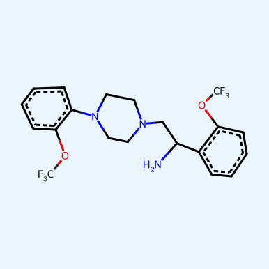 NC(CN1CCN(c2ccccc2OC(F)(F)F)CC1)c1ccccc1OC(F)(F)F